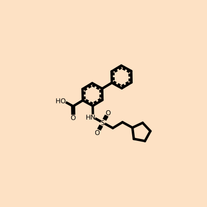 O=C(O)c1ccc(-c2ccccc2)cc1NS(=O)(=O)CCC1CCCC1